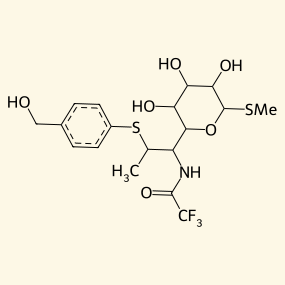 CSC1OC(C(NC(=O)C(F)(F)F)C(C)Sc2ccc(CO)cc2)C(O)C(O)C1O